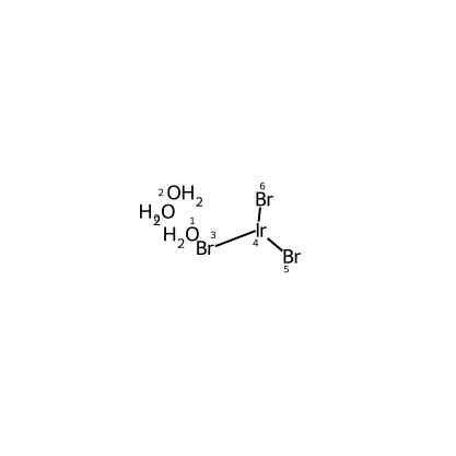 O.O.O.[Br][Ir]([Br])[Br]